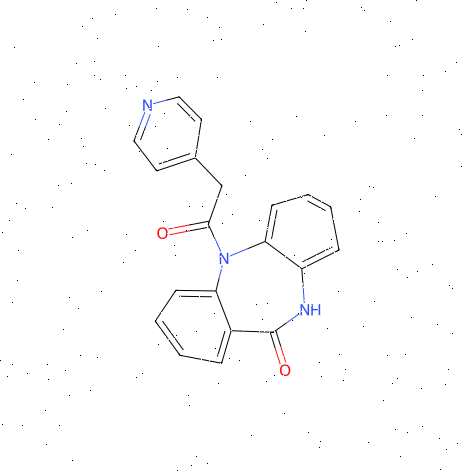 O=C1Nc2ccccc2N(C(=O)Cc2ccncc2)c2ccccc21